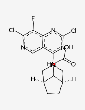 O=C(O)NC1[C@@H]2CC[C@H]1CN(c1nc(Cl)nc3c(F)c(Cl)ncc13)C2